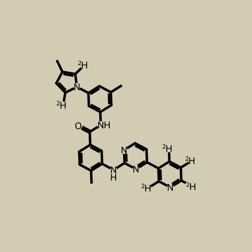 [2H]c1nc([2H])c(-c2ccnc(Nc3cc(C(=O)Nc4cc(C)cc(-n5c([2H])cc(C)c5[2H])c4)ccc3C)n2)c([2H])c1[2H]